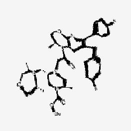 C[C@@H]1CN(CC(=O)N2c3cc(Cc4ccc(F)cc4)c(-c4ccc(F)cc4)nc3OC[C@@H]2C)[C@@H](CN2[C@H](C)COC[C@H]2C)CN1C(=O)OC(C)(C)C